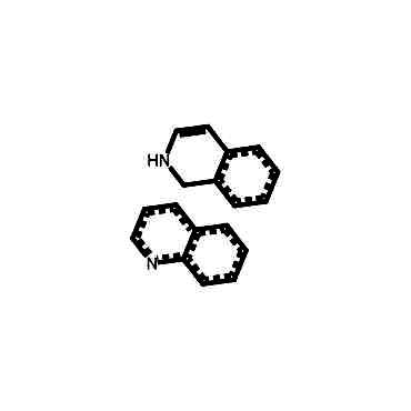 C1=Cc2ccccc2CN1.c1ccc2ncccc2c1